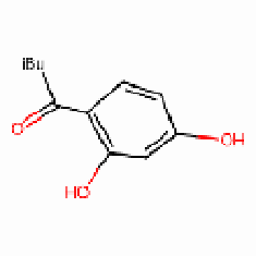 [CH2]CC(C)C(=O)c1ccc(O)cc1O